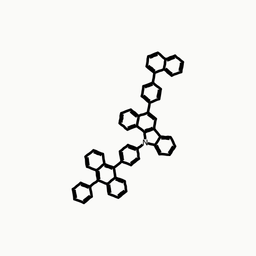 c1ccc(-c2c3ccccc3c(-c3ccc(-n4c5ccccc5c5cc(-c6ccc(-c7cccc8ccccc78)cc6)c6ccccc6c54)cc3)c3ccccc23)cc1